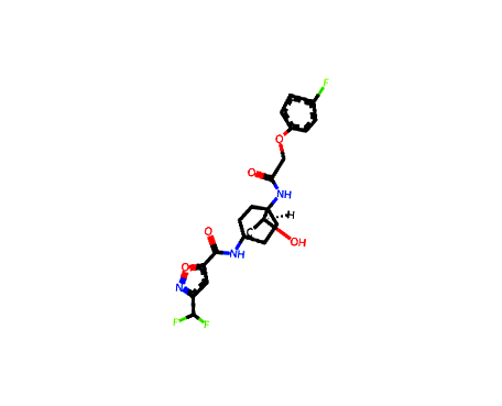 O=C(COc1ccc(F)cc1)NC12CCC(NC(=O)c3cc(C(F)F)no3)(CC1)C[C@@H]2O